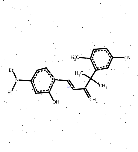 C=C(/C=C/c1ccc(N(CC)CC)cc1O)C(C)(C)c1cc(C#N)ccc1C